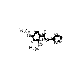 COc1ccc(C(=O)Nc2ccon2)c(OC)c1